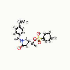 COc1ccc(C(C)N2C[C@H](C(C)OS(=O)(=O)c3ccc(C)cc3)CC2=O)cc1